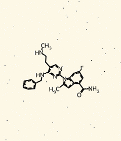 CNCCc1cnc(-n2c(C)cc3c(C(N)=O)cc(F)cc32)nc1NCc1ccccc1